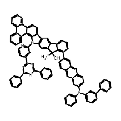 CC1(C)c2cc3c(cc2-c2cccc(-c4ccc5cc6cc(N(c7ccccc7)c7cccc(-c8ccccc8)c7)ccc6cc5c4)c21)c1ccc2c4ccccc4c4ccccc4c2c1n3-c1cc(-c2nc(-c3ccccc3)nc(-c3ccccc3)n2)ccn1